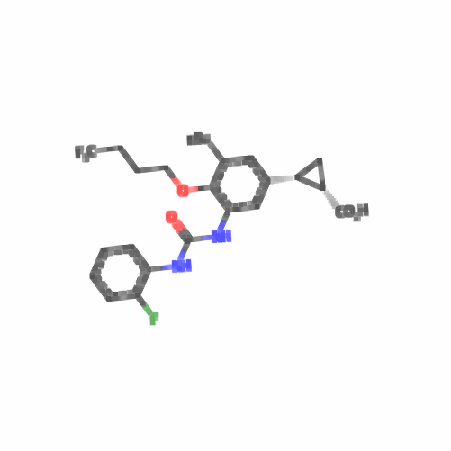 CCCCc1cc([C@@H]2C[C@@H]2C(=O)O)cc(NC(=O)Nc2ccccc2F)c1OCCCC(F)(F)F